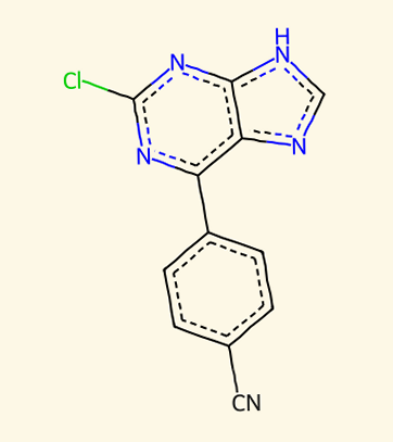 N#Cc1ccc(-c2nc(Cl)nc3[nH]cnc23)cc1